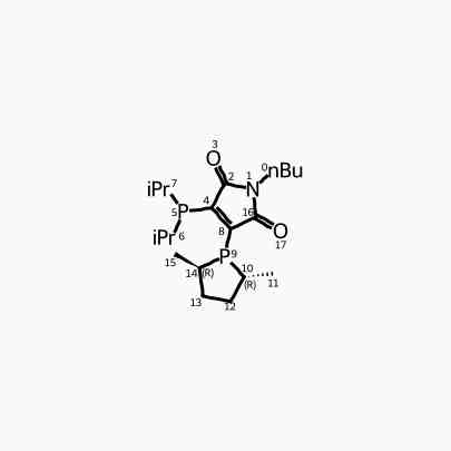 CCCCN1C(=O)C(P(C(C)C)C(C)C)=C(P2[C@H](C)CC[C@H]2C)C1=O